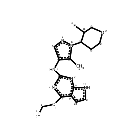 CCOc1nc(Nc2cnn(C3CCOCC3F)c2C)nc2[nH]ccc12